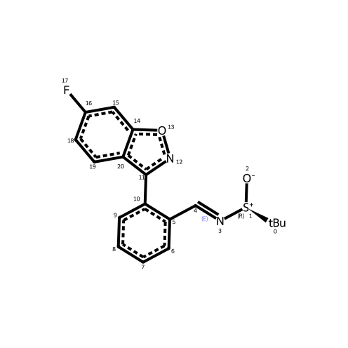 CC(C)(C)[S@+]([O-])/N=C/c1ccccc1-c1noc2cc(F)ccc12